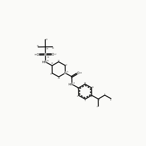 CCC(C)c1ccc(NC(=O)N2CCC(NS(=O)(=O)C(C)(C)C)CC2)cc1